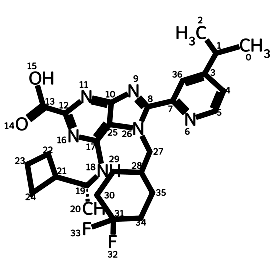 CC(C)c1ccnc(-c2nc3nc(C(=O)O)nc(N[C@H](C)C4CCC4)c3n2CC2CCC(F)(F)CC2)c1